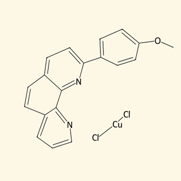 COc1ccc(-c2ccc3ccc4cccnc4c3n2)cc1.[Cl][Cu][Cl]